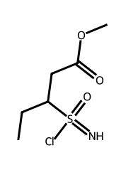 CCC(CC(=O)OC)S(=N)(=O)Cl